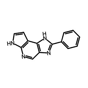 c1ccc(-c2nc3cnc4[nH]ccc4c3[nH]2)cc1